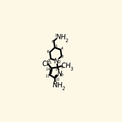 CC1(N2CCC(CN)CC2)N=C(N)C=C1Cl